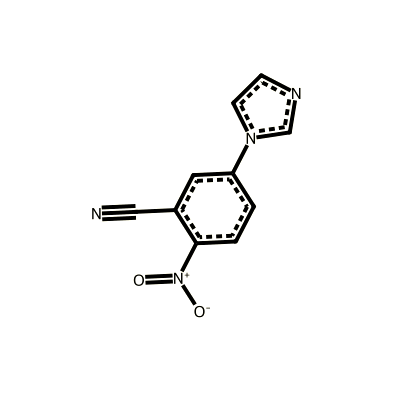 N#Cc1cc(-n2ccnc2)ccc1[N+](=O)[O-]